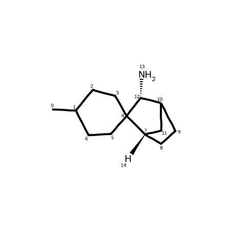 CC1CCC2(CC1)[C@H]1CCC(C1)[C@H]2N